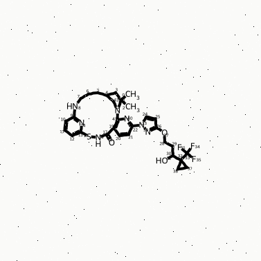 CC1(C)CC2CCCNc3cccc(n3)SNC(=O)c3ccc(-n4ccc(OCCC(O)C5(C(F)(F)F)CC5)n4)nc3N1C2